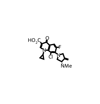 C=C1CN(c2c(F)cc3c(=O)c(C(=O)O)cn(C4CC4)c3c2Cl)C[C@H]1NC